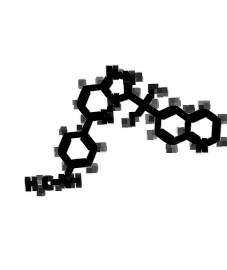 CNc1ccc(-c2ccc3nnc(C(F)(F)c4ccc5ncccc5c4)n3n2)cc1